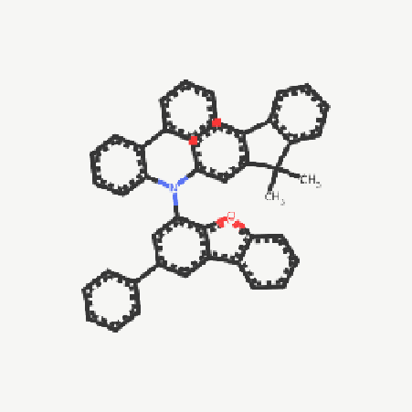 CC1(C)c2ccccc2-c2ccc(N(c3ccccc3-c3ccccc3)c3cc(-c4ccccc4)cc4c3oc3ccccc34)cc21